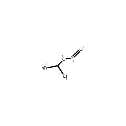 CCCC(CC)OP=O